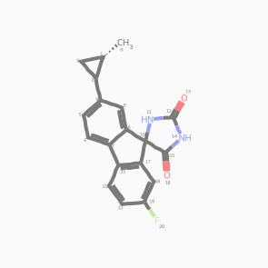 C[C@H]1CC1c1ccc2c(c1)C1(NC(=O)NC1=O)c1cc(F)ccc1-2